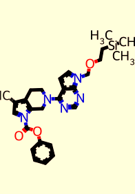 C[Si](C)(C)CCOCn1ccc2c(N3CCc4c(C#N)cn(C(=O)Oc5ccccc5)c4C3)ncnc21